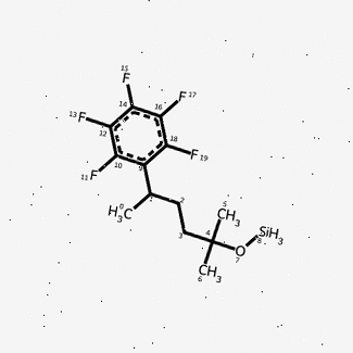 CC(CCC(C)(C)O[SiH3])c1c(F)c(F)c(F)c(F)c1F